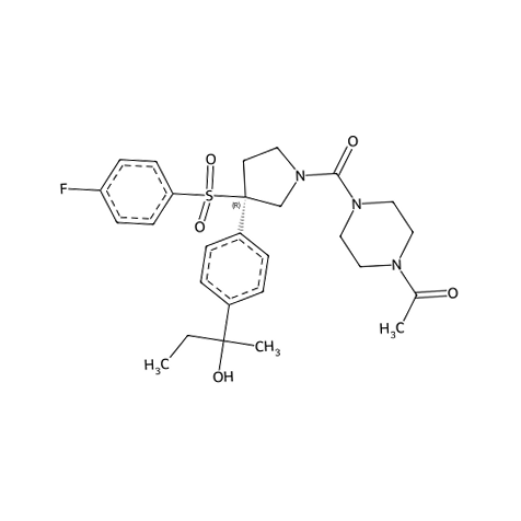 CCC(C)(O)c1ccc([C@]2(S(=O)(=O)c3ccc(F)cc3)CCN(C(=O)N3CCN(C(C)=O)CC3)C2)cc1